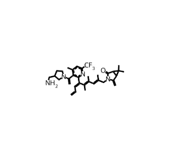 C=C\C=C(/C(C)=C(C)/C=C(\C)CN1C(=C)C2C(C1=O)C2(C)C)c1nc(C(F)(F)F)cc(C)c1C(=C)N1CCC(CN)C1